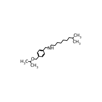 CC(C)CCCCCCCNCc1ccc(COC(C)C)cc1